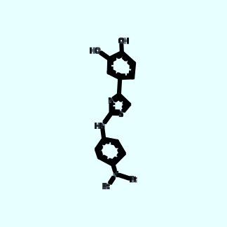 CCN(CC)c1ccc(Nc2nc(-c3ccc(O)c(O)c3)cs2)cc1